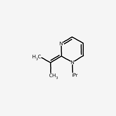 CC(C)=C1N=CC=CN1C(C)C